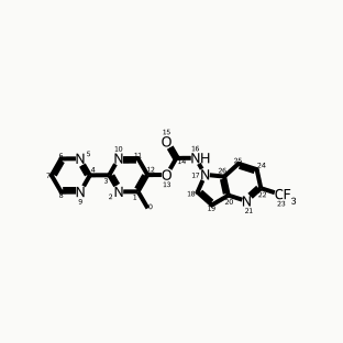 Cc1nc(-c2ncccn2)ncc1OC(=O)Nn1ccc2nc(C(F)(F)F)ccc21